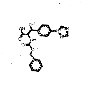 CC(=C(NC(=O)OCc1ccccc1)C(=O)O)c1ccc(-n2cncn2)cc1